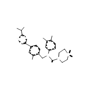 O=C(N1CCS(=O)(=O)CC1)N(Cc1ccc(-c2nnc(C(F)F)o2)cc1F)c1ccc(F)c(Cl)c1